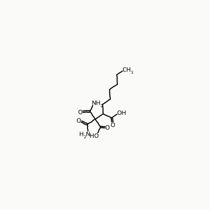 CCCCCCC(C(=O)O)C(C(N)=O)(C(N)=O)C(=O)O